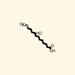 Cl.O=C=NCCCCCCCCCCCC(=O)O